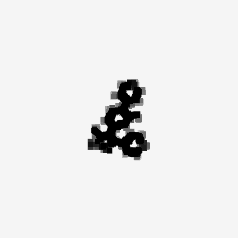 Cc1cc(-c2c(-c3ccncc3)n[nH]c2C)ccc1-c1ccncc1